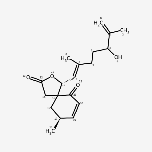 C=C(C)C(O)CC/C(C)=C/[C@H]1OC(=O)CC12C[C@H](C)C=CC2=O